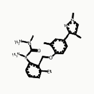 CCc1cccc(N(N)C(=O)N(C)N)c1COc1ccc(-c2nn(C)cc2C)cc1C